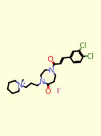 C[N+]1(CCCN2CCN(C(=O)C=Cc3ccc(Cl)c(Cl)c3)CCC2=O)CCCCC1.[I-]